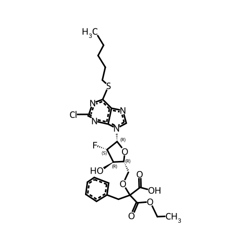 CCCCCSc1nc(Cl)nc2c1ncn2[C@@H]1O[C@H](COC(Cc2ccccc2)(C(=O)O)C(=O)OCC)[C@@H](O)[C@@H]1F